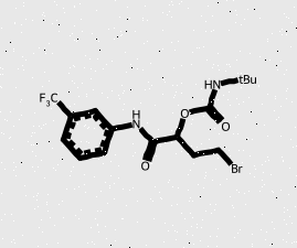 CC(C)(C)NC(=O)OC(CCBr)C(=O)Nc1cccc(C(F)(F)F)c1